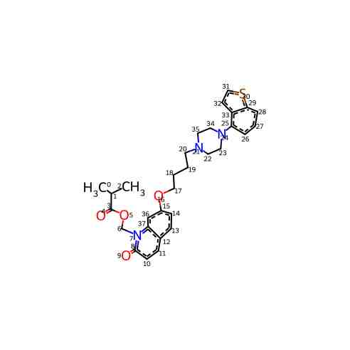 CC(C)C(=O)OCn1c(=O)ccc2ccc(OCCCCN3CCN(c4cccc5sccc45)CC3)cc21